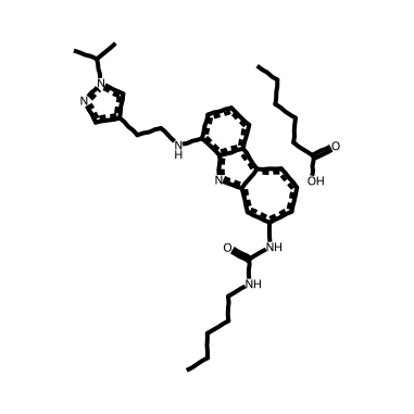 CCCCCC(=O)O.CCCCCNC(=O)Nc1cccc2c3cccc(NCCc4cnn(C(C)C)c4)c3nc-2c1